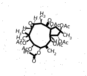 C=C1[C@H](OC(=O)C(C)C)[C@@H](OC(C)=O)[C@@H](OC(C)=O)C(C)(C)[C@@H]2O[C@H]2[C@@H](C)C(=O)[C@@]2(OC(C)=O)C[C@@](C)(OC(C)=O)[C@H](OC(C)=O)[C@@H]2[C@H]1OC(C)=O